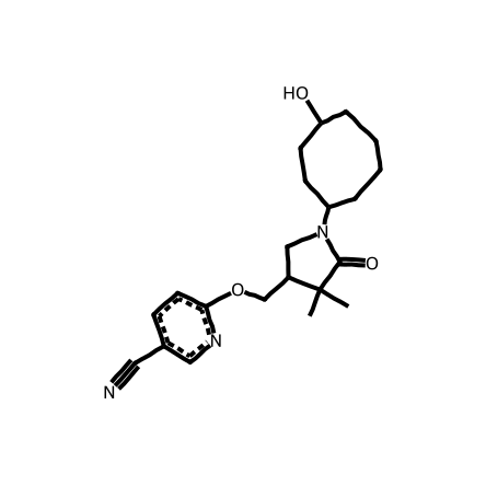 CC1(C)C(=O)N(C2CCCCC(O)CC2)CC1COc1ccc(C#N)cn1